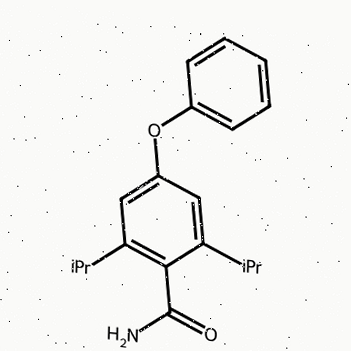 CC(C)c1cc(Oc2ccccc2)cc(C(C)C)c1C(N)=O